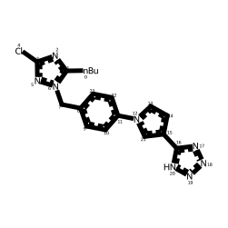 CCCCc1nc(Cl)nn1Cc1ccc(-n2ccc(-c3nnn[nH]3)c2)cc1